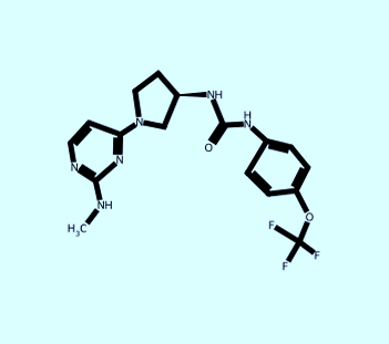 CNc1nccc(N2CC[C@@H](NC(=O)Nc3ccc(OC(F)(F)F)cc3)C2)n1